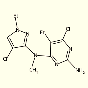 [CH2]Cc1c(Cl)nc(N)nc1N(C)c1nn(CC)cc1Cl